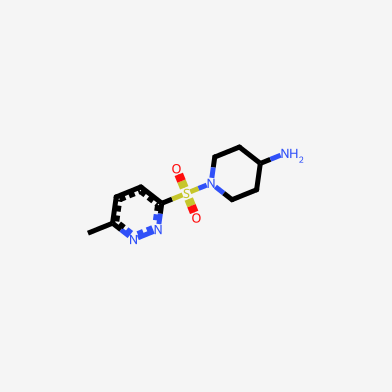 Cc1ccc(S(=O)(=O)N2CCC(N)CC2)nn1